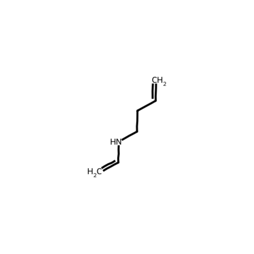 C=CCCNC=C